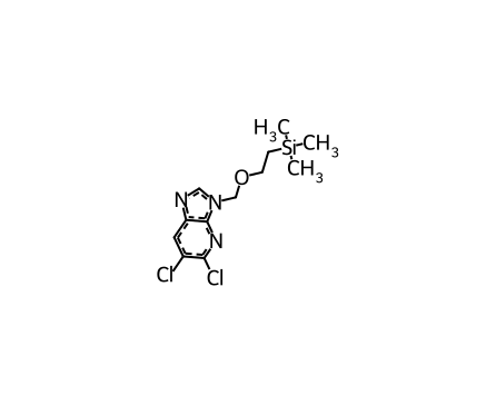 C[Si](C)(C)CCOCn1cnc2cc(Cl)c(Cl)nc21